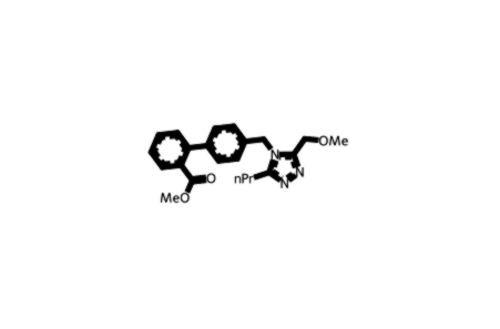 CCCc1nnc(COC)n1Cc1ccc(-c2ccccc2C(=O)OC)cc1